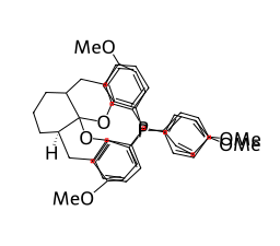 COc1ccc(P(c2ccc(OC)cc2)c2cccc3c2OC24Oc5c(cccc5P(c5ccc(OC)cc5)c5ccc(OC)cc5)C[C@H]2CCCC4C3)cc1